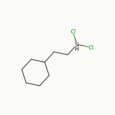 Cl[SiH](Cl)CCC1CCCCC1